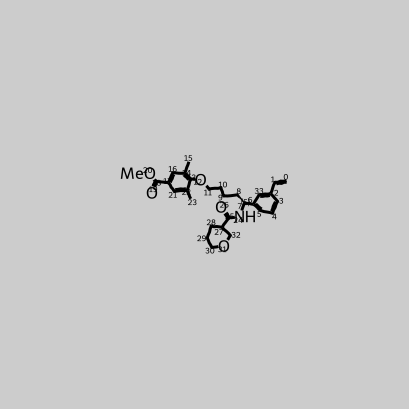 C=Cc1cccc([C@H](CCCCOc2c(C)cc(C(=O)OC)cc2C)NC(=O)C2CCCOC2)c1